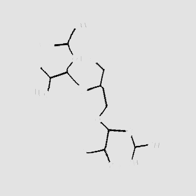 CCC(COC(OC(C)C)C(C)C)OC(OC(C)C)C(C)C